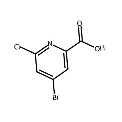 O=C(O)c1cc(Br)cc(Cl)n1